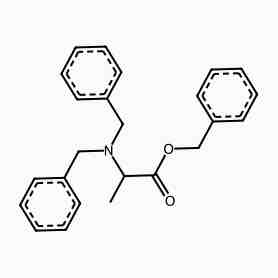 CC(C(=O)OCc1ccccc1)N(Cc1ccccc1)Cc1ccccc1